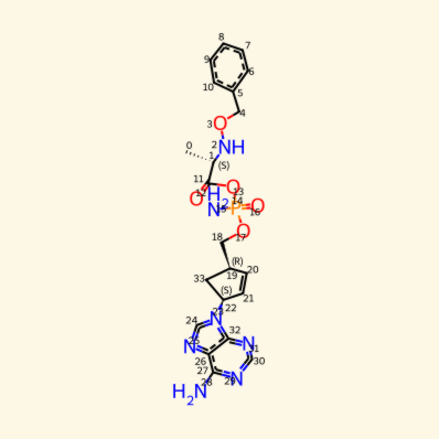 C[C@H](NOCc1ccccc1)C(=O)OP(N)(=O)OC[C@H]1C=C[C@@H](n2cnc3c(N)ncnc32)C1